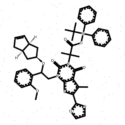 COc1ccccc1C(Cn1c(=O)n(C(C)(C)C(=O)O[Si](c2ccccc2)(c2ccccc2)C(C)(C)C)c(=O)c2c(C)c(-c3ncco3)sc21)O[C@H]1C[C@H]2CC=C[C@H]2C1